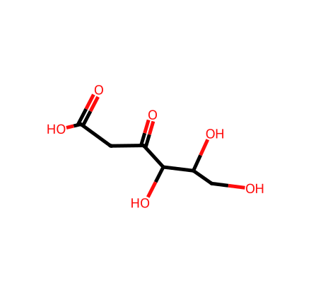 O=C(O)CC(=O)C(O)C(O)CO